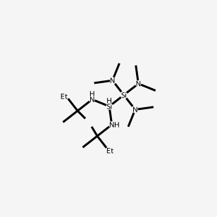 CCC(C)(C)N[SiH](NC(C)(C)CC)[Si](N(C)C)(N(C)C)N(C)C